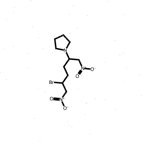 O=[N+]([O-])CC(Br)CCC(C[N+](=O)[O-])N1CCCC1